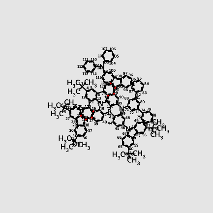 CC(C)(C)c1cc(-c2ccccc2)c(N2c3cc(-n4c5ccc(C(C)(C)C)cc5c5cc(C(C)(C)C)ccc54)ccc3B3c4ccc(-n5c6ccc(C(C)(C)C)cc6c6cc(C(C)(C)C)ccc65)cc4N(c4cc(-c5ccccc5)cc(-c5ccccc5)c4)c4cc(-n5c6ccccc6c6cc(N(c7ccccc7)c7ccccc7)ccc65)cc2c43)c(-c2ccccc2)c1